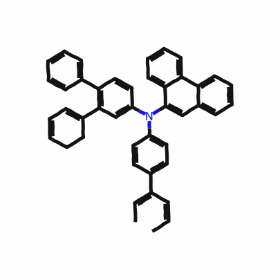 C/C=C\C(=C/C)c1ccc(N(c2ccc(-c3ccccc3)c(C3=CC=CCC3)c2)c2cc3ccccc3c3ccccc23)cc1